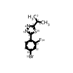 CC(C)c1nnc(-c2ccc(Br)cc2F)s1